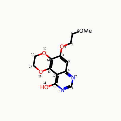 COCCOc1cc2ncnc(O)c2c2c1OCCO2